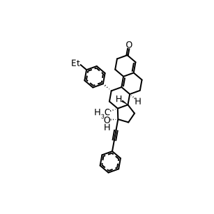 CCc1ccc([C@H]2C[C@@]3(C)[C@@H](CC[C@@]3(O)C#Cc3ccccc3)[C@@H]3CCC4=CC(=O)CCC4=C32)cc1